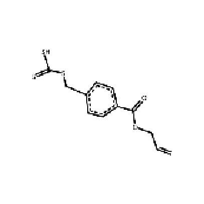 C=CCOC(=O)c1ccc(CSC(=S)S)cc1